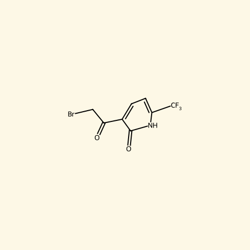 O=C(CBr)c1ccc(C(F)(F)F)[nH]c1=O